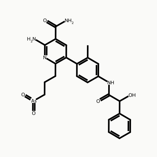 Cc1cc(NC(=O)C(O)c2ccccc2)ccc1-c1cc(C(N)=O)c(N)nc1CCC[As](=O)=O